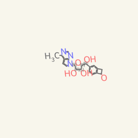 Cc1ncnc2c1ccn2[C@@H]1O[C@H]([C@H](O)c2ccc3c(c2)CC3=O)[C@@H](O)[C@H]1O